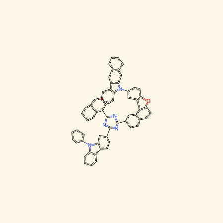 c1ccc(-n2c3ccccc3c3ccc(-c4nc(-c5ccc6ccc7oc8ccc(-n9c%10ccccc%10c%10cc%11ccccc%11cc%109)cc8c7c6c5)nc(-c5cccc6ccccc56)n4)cc32)cc1